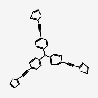 C(#Cc1cccs1)c1ccc(N(c2ccc(C#Cc3cccs3)cc2)c2ccc(C#Cc3cccs3)cc2)cc1